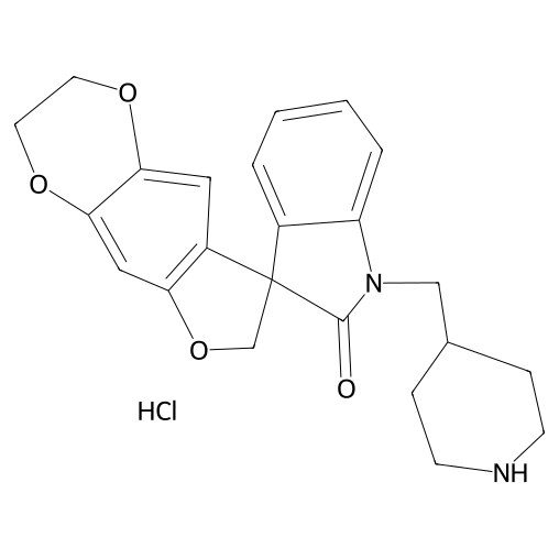 Cl.O=C1N(CC2CCNCC2)c2ccccc2C12COc1cc3c(cc12)OCCO3